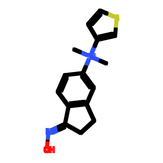 C[N+](C)(c1ccsc1)c1ccc2c(c1)CCC2=NO